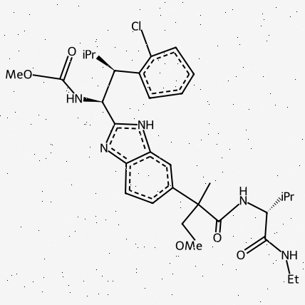 CCNC(=O)[C@H](NC(=O)C(C)(COC)c1ccc2nc([C@@H](NC(=O)OC)[C@H](c3ccccc3Cl)C(C)C)[nH]c2c1)C(C)C